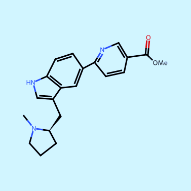 COC(=O)c1ccc(-c2ccc3[nH]cc(C[C@H]4CCCN4C)c3c2)nc1